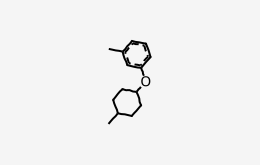 Cc1cccc(OC2CCC(C)CC2)c1